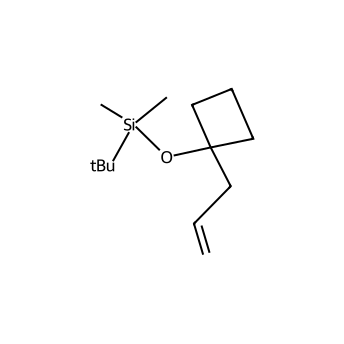 C=CCC1(O[Si](C)(C)C(C)(C)C)CCC1